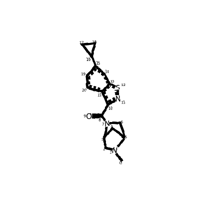 CN1CC2CC1CN2C(=O)c1nsc2cc(C3CC3)ccc12